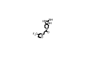 N=C1NCC2(CCN(C(=O)CCN3C=C(C(F)(F)F)C=CO3)CC2)N1